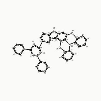 c1ccc(-c2nc(-c3ccccc3)nc(-c3ccc4oc5cc6c7c(c5c4c3)Oc3ccccc3N7c3ccccc3O6)n2)cc1